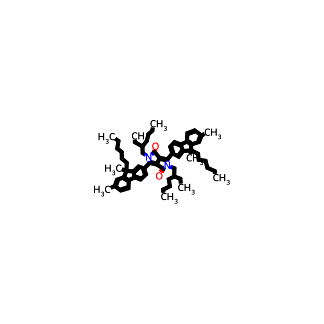 CCCCCCC1(C)c2cc(C)ccc2-c2ccc(C3=C4C(=O)N(CC(CC)CCCC)C(c5ccc6c(c5)C(C)(CCCCCC)c5cc(C)ccc5-6)=C4C(=O)N3CC(CC)CCCC)cc21